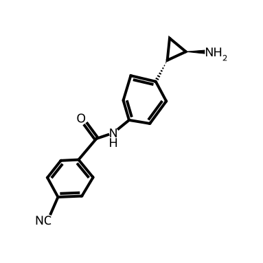 N#Cc1ccc(C(=O)Nc2ccc([C@@H]3C[C@H]3N)cc2)cc1